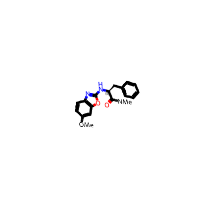 CNC(=O)[C@H](Cc1ccccc1)Nc1nc2ccc(OC)cc2o1